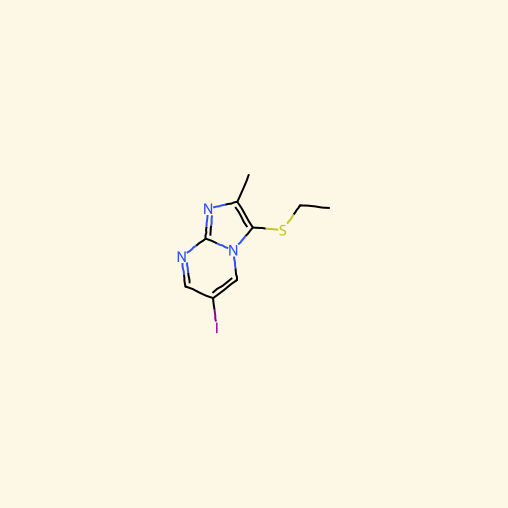 CCSc1c(C)nc2ncc(I)cn12